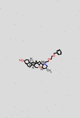 C[C@H]1C[C@H]2O[C@@]34CC[C@H]5[C@@H]6CCC7=C[C@@H](O)CC[C@]7(C)[C@H]6CC56CC63C[C@@H]4[C@@H]2N(CCOCCOCc2ccccc2)C1